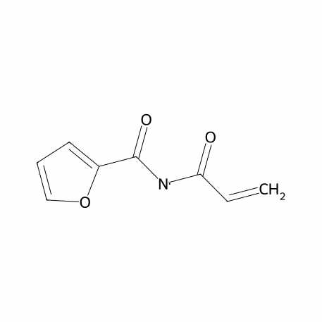 C=CC(=O)[N]C(=O)c1ccco1